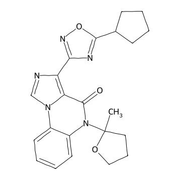 CC1(n2c(=O)c3c(-c4noc(C5CCCC5)n4)ncn3c3ccccc32)CCCO1